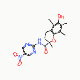 Cc1c(C)c2c(c(C)c1O)CCC(C)(C(=O)Nc1ncc([N+](=O)[O-])cn1)O2